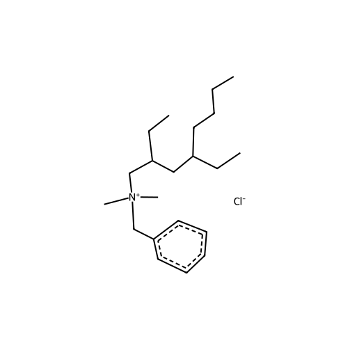 CCCCC(CC)CC(CC)C[N+](C)(C)Cc1ccccc1.[Cl-]